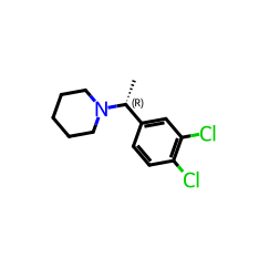 C[C@H](c1ccc(Cl)c(Cl)c1)N1CCCCC1